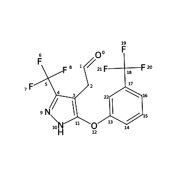 O=CCc1c(C(F)(F)F)n[nH]c1Oc1cccc(C(F)(F)F)c1